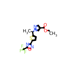 CCOC(=O)c1cnn([C@H](C)c2ccc(-c3noc(C(F)(F)F)n3)s2)c1